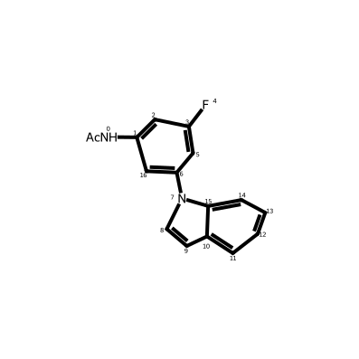 CC(=O)Nc1cc(F)cc(-n2ccc3cc[c]cc32)c1